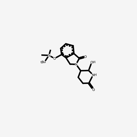 CC(C)(C)[Si](C)(C)Oc1cccc2c1CN(C1CCC(=O)NC1O)C2=O